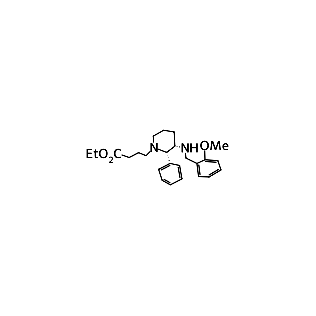 CCOC(=O)CCCN1CCC[C@H](NCc2ccccc2OC)[C@@H]1c1ccccc1